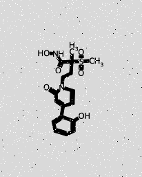 CC(CCn1ccc(-c2ccccc2O)cc1=O)(C(=O)NO)S(C)(=O)=O